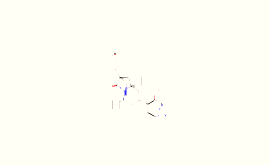 COc1cnccc1C1C[C@@H]2CC3(COC(C)(C)C)C[C@H](C1)N2C3=O